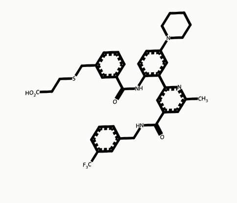 Cc1cc(C(=O)NCc2cccc(C(F)(F)F)c2)cc(-c2cc(N3CCCCC3)ccc2NC(=O)c2cccc(CSCCC(=O)O)c2)n1